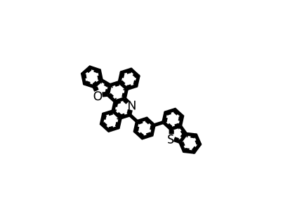 c1cc(-c2nc3c4ccccc4c4c5ccccc5oc4c3c3ccccc23)cc(-c2cccc3c2sc2ccccc23)c1